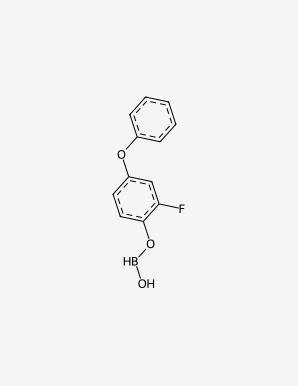 OBOc1ccc(Oc2ccccc2)cc1F